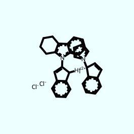 C1=C[C]([Hf+2][CH]2C(n3c4c(c5ccccc53)CCCC4)=Cc3ccccc32)(n2cccc2)c2ccccc21.[Cl-].[Cl-]